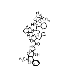 CN(C)C(=O)[C@@H](NC(=O)CNC(=O)C(=O)C(CC1CCC1)NC(=O)[C@@H]1[C@H]2CCC[C@H]2CN1C(=O)[C@@H](NC(=O)OC(C)(C)I)C1CCCCC1)c1ccccc1